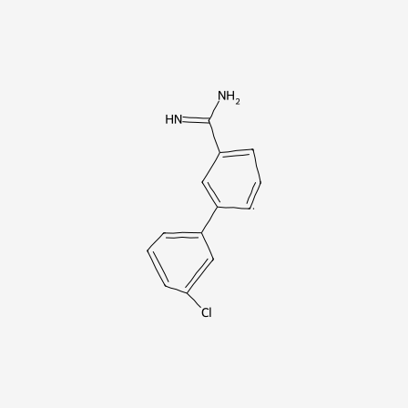 N=C(N)c1cc[c]c(-c2cccc(Cl)c2)c1